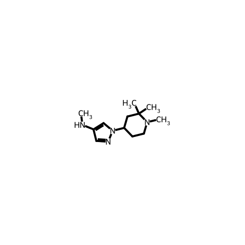 CNc1cnn(C2CCN(C)C(C)(C)C2)c1